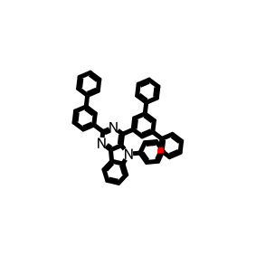 c1ccc(-c2cccc(-c3nc(-c4cc(-c5ccccc5)cc(-c5ccccc5)c4)c4c(n3)c3ccccc3n4-c3ccccc3)c2)cc1